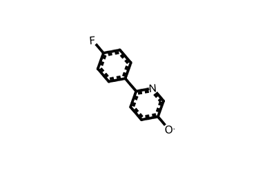 [O]c1ccc(-c2ccc(F)cc2)nc1